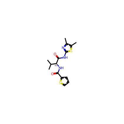 Cc1nc(NC(=O)[C@@H](NC(=O)c2cccs2)C(C)C)sc1C